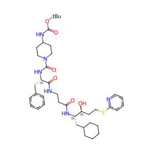 CC(C)(C)OC(=O)NC1CCN(C(=O)N[C@@H](Cc2ccccc2)C(=O)NCCC(=O)N[C@@H](CC2CCCCC2)[C@@H](O)CCSc2ccccn2)CC1